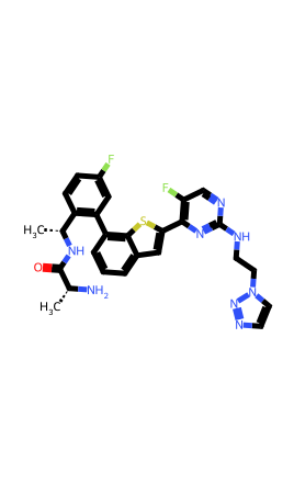 C[C@@H](N)C(=O)N[C@H](C)c1ccc(F)cc1-c1cccc2cc(-c3nc(NCCn4ccnn4)ncc3F)sc12